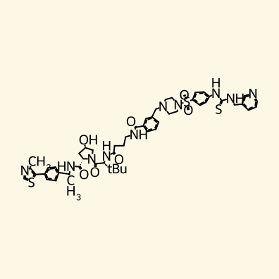 Cc1ncsc1-c1ccc([C@H](C)NC(=O)[C@@H]2C[C@@H](O)CN2C(=O)[C@@H](NC(=O)CCCNC(=O)c2cccc(CN3CCN(S(=O)(=O)c4ccc(NC(=S)NCc5cccnc5)cc4)CC3)c2)C(C)(C)C)cc1